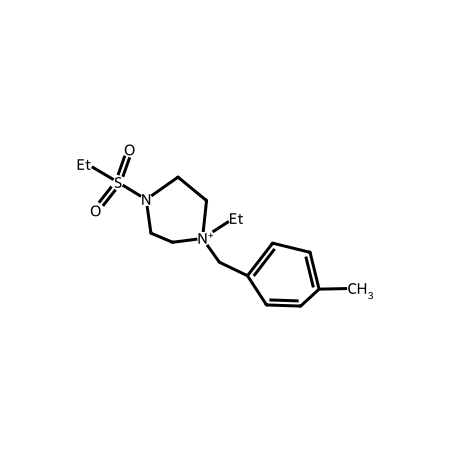 CC[N+]1(Cc2ccc(C)cc2)CCN(S(=O)(=O)CC)CC1